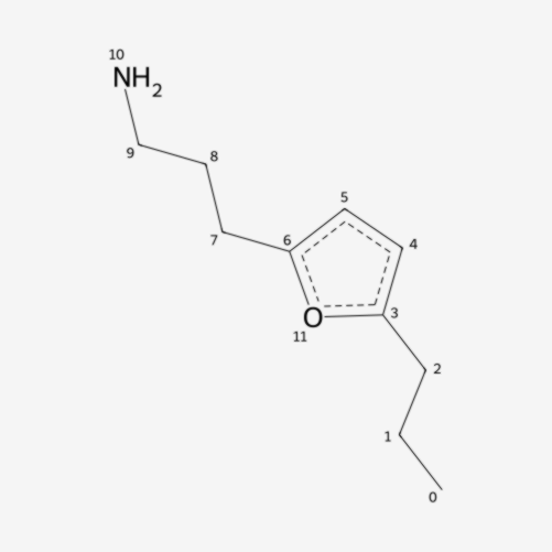 CCCc1ccc(CCCN)o1